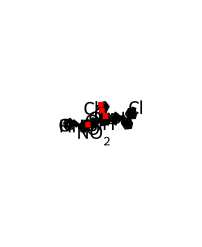 O=C(NS(=O)(=O)c1ccc(NCC2CCOCC2)c([N+](=O)[O-])c1)c1ccc(N2CCN(Cc3ccccc3-c3ccc(Cl)cc3)CC2)cc1Oc1ccccc1Cl